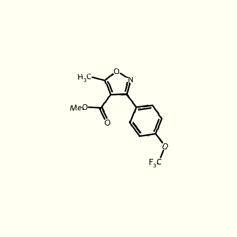 COC(=O)c1c(-c2ccc(OC(F)(F)F)cc2)noc1C